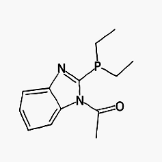 CCP(CC)c1nc2ccccc2n1C(C)=O